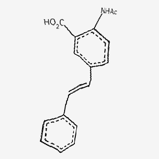 CC(=O)Nc1ccc(C=Cc2ccccc2)cc1C(=O)O